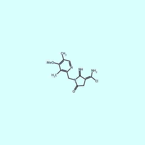 COc1c(C)cnc(CN2C(=N)/C(=C(\N)Cl)CC2=O)c1C